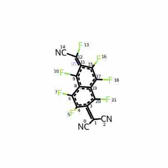 N#CC(C#N)=c1c(F)c(F)c2c(F)/c(=C(/F)C#N)c(F)c(F)c2c1F